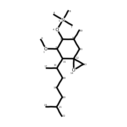 COC1C(O[Si](C)(C)C)C(C)CC2(CO2)C1C(C)CCCC(C)C